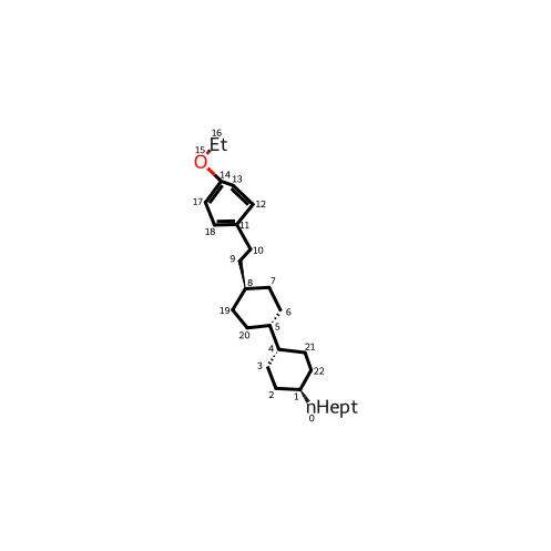 CCCCCCC[C@H]1CC[C@H]([C@H]2CC[C@H](CCc3ccc(OCC)cc3)CC2)CC1